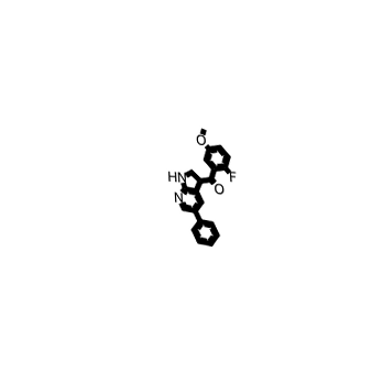 COc1ccc(F)c(C(=O)C2CNc3ncc(-c4ccccc4)cc32)c1